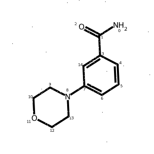 NC(=O)c1cccc(N2CCOCC2)c1